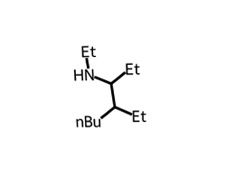 CCCCC(CC)C(CC)NCC